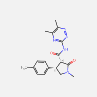 Cc1nnc(NC(=O)[C@@H]2C(=O)N(C)C[C@H]2c2ccc(C(F)(F)F)cc2)nc1C